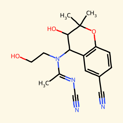 CC(=NC#N)N(CCO)C1c2cc(C#N)ccc2OC(C)(C)C1O